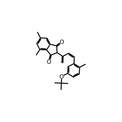 C=C(/C=C\c1cc(OC(C)(C)C)ccc1C)C1C(=O)c2cc(C)cc(C)c2C1=O